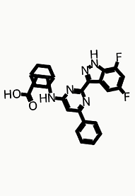 O=C(O)C1C2CCC(CC2)C1Nc1cc(-c2ccccc2)nc(-c2n[nH]c3c(F)cc(F)cc23)n1